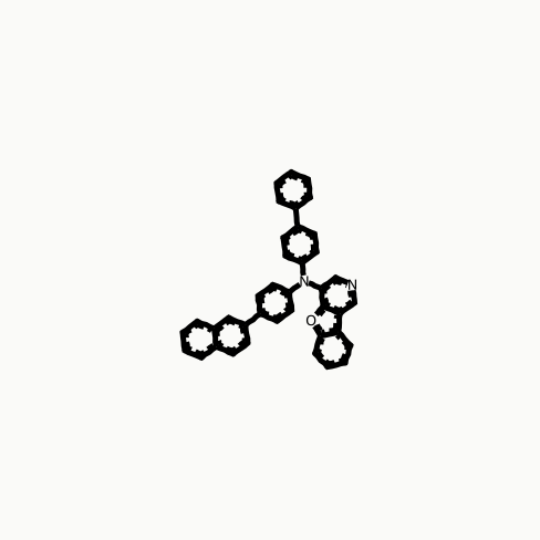 c1ccc(-c2ccc(N(c3ccc(-c4ccc5ccccc5c4)cc3)c3cncc4c3oc3ccccc34)cc2)cc1